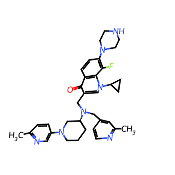 Cc1ccc(N2CCC[C@H](N(Cc3ccnc(C)c3)Cc3cn(C4CC4)c4c(F)c(N5CCNCC5)ccc4c3=O)C2)cn1